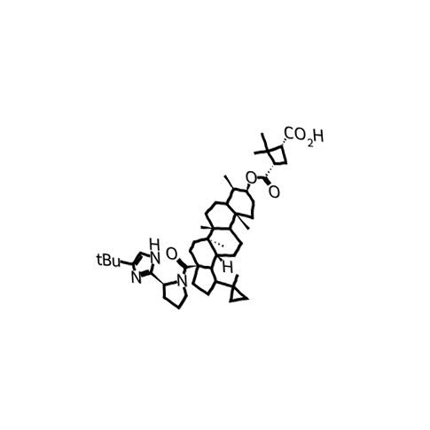 C[C@@H]1C2CC[C@]3(C)C(CC[C@@H]4C5C(C6(C)CC6)CC[C@]5(C(=O)N5CCC[C@H]5c5nc(C(C)(C)C)c[nH]5)CC[C@]43C)[C@@]2(C)CC[C@@H]1OC(=O)[C@H]1C[C@@H](C(=O)O)C1(C)C